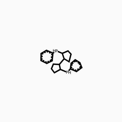 c1ccc(PC2CCCC2C2CCCC2Pc2ccccc2)cc1